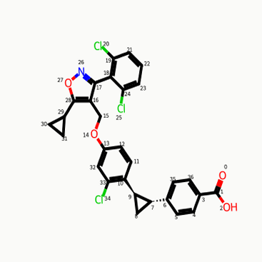 O=C(O)c1ccc([C@@H]2C[C@H]2c2ccc(OCc3c(-c4c(Cl)cccc4Cl)noc3C3CC3)cc2Cl)cc1